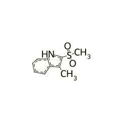 Cc1c(S(C)(=O)=O)[nH]c2ccccc12